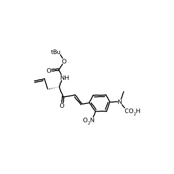 C=CC[C@H](NC(=O)OC(C)(C)C)C(=O)/C=C/c1ccc(N(C)C(=O)O)cc1[N+](=O)[O-]